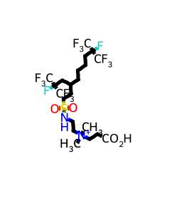 C[N+](C)(CCNS(=O)(=O)CCC(CCCCC(F)(C(F)(F)F)C(F)(F)F)CC(F)(C(F)(F)F)C(F)(F)F)CCC(=O)O